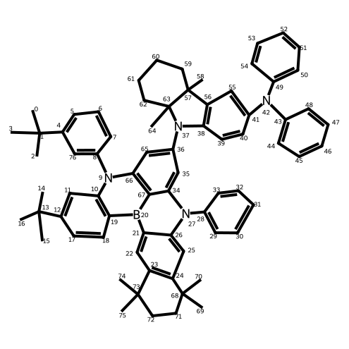 CC(C)(C)c1cccc(N2c3cc(C(C)(C)C)ccc3B3c4cc5c(cc4N(c4ccccc4)c4cc(N6c7ccc(N(c8ccccc8)c8ccccc8)cc7C7(C)CCCCC67C)cc2c43)C(C)(C)CCC5(C)C)c1